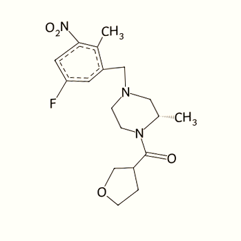 Cc1c(CN2CCN(C(=O)C3CCOC3)[C@@H](C)C2)cc(F)cc1[N+](=O)[O-]